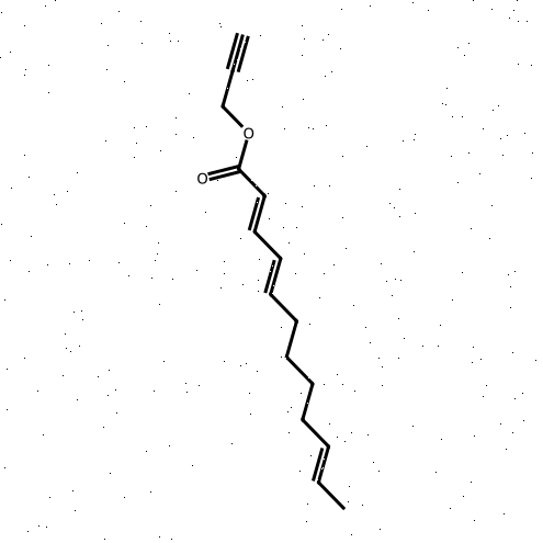 C#CCOC(=O)C=CC=CCCCCC=CC